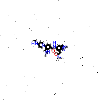 CCNC1CCN(c2ccc(C(=O)Nc3cc(CC(=O)N(C)C)c4nn(C)cc4c3)c3nn(C)cc23)CC1